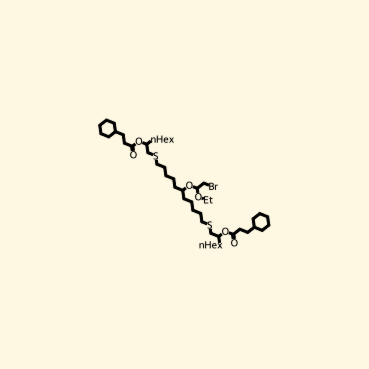 CCCCCCC(CSCCCCCC(CCCCCSCC(CCCCCC)OC(=O)CCC1CCCCC1)OC(CBr)OCC)OC(=O)CCC1CCCCC1